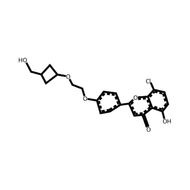 O=c1cc(-c2ccc(OCCOC3CC(CO)C3)cc2)oc2c(Cl)ccc(O)c12